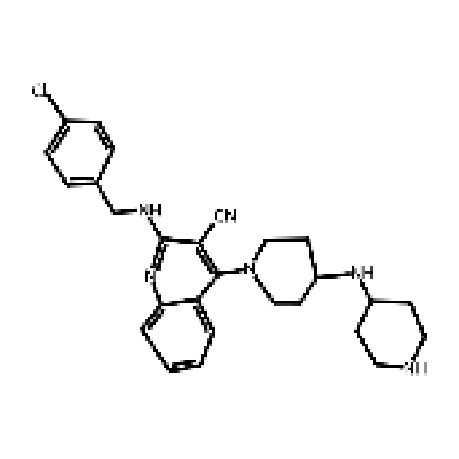 N#Cc1c(NCc2ccc(Cl)cc2)nc2ccccc2c1N1CCC(NC2CCNCC2)CC1